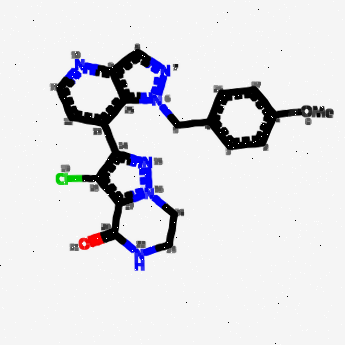 COc1ccc(Cn2ncc3nccc(-c4nn5c(c4Cl)C(=O)NCC5)c32)cc1